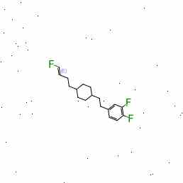 F/C=C/CCC1CCC(CCc2ccc(F)c(F)c2)CC1